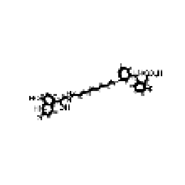 O=C(O)NC(c1cccc(OCCCCCCCCCNCC(O)c2ccc(O)c3[nH]c(=O)ccc23)c1)c1cccc(F)c1F